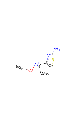 CCOC(=O)O/N=C(\[C]=O)c1csc(N)n1